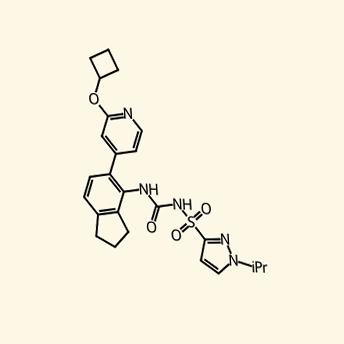 CC(C)n1ccc(S(=O)(=O)NC(=O)Nc2c(-c3ccnc(OC4CCC4)c3)ccc3c2CCC3)n1